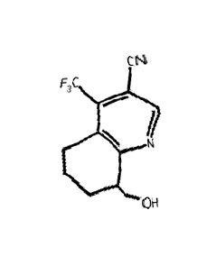 N#Cc1cnc2c(c1C(F)(F)F)CCCC2O